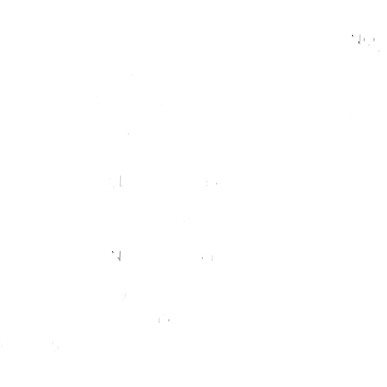 CC(=O)SC1CN(C(Cl)C(=O)OCc2ccc([N+](=O)[O-])cc2)C1=O.c1cc2ccc1-2